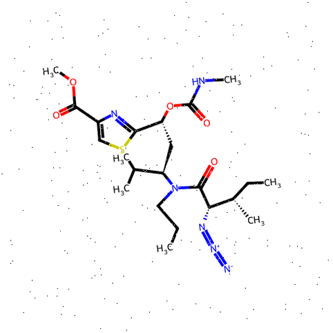 CCCN(C(=O)[C@@H](N=[N+]=[N-])[C@@H](C)CC)[C@H](C[C@@H](OC(=O)NC)c1nc(C(=O)OC)cs1)C(C)C